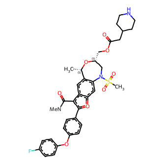 CNC(=O)c1c(-c2ccc(Oc3ccc(F)cc3)cc2)oc2cc3c(cc12)[C@H](C)O[C@H](COC(=O)CC1CCNCC1)CN3S(C)(=O)=O